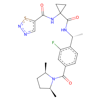 C[C@@H]1CC[C@H](C)N1C(=O)c1ccc([C@@H](C)NC(=O)C2(NC(=O)c3cnns3)CC2)c(F)c1